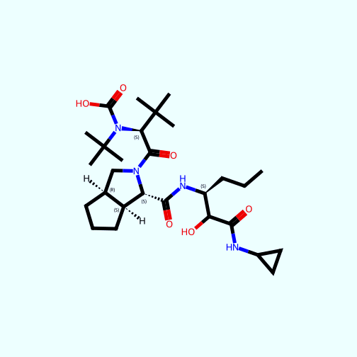 CCC[C@H](NC(=O)[C@@H]1[C@H]2CCC[C@H]2CN1C(=O)[C@@H](N(C(=O)O)C(C)(C)C)C(C)(C)C)C(O)C(=O)NC1CC1